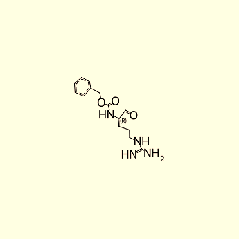 N=C(N)NCCC[C@H](C=O)NC(=O)OCc1ccccc1